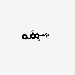 C[Si](C)(C)C#CC1Cc2c(Cl)cc(Cc3ccccc3)cc2C1=O